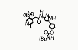 CC[C@H](C)NC(=O)O[C@@H]1CC[C@H](c2cc(NC(=O)Cc3cc(C)ncc3S(C)(=O)=O)n[nH]2)C1